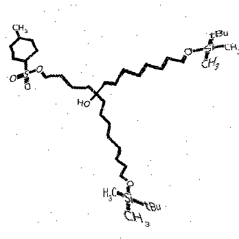 CC1CCC(S(=O)(=O)OCCCCC(O)(CCCCCCCCO[Si](C)(C)C(C)(C)C)CCCCCCCCO[Si](C)(C)C(C)(C)C)CC1